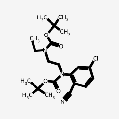 CCN(CCN(C(=O)OC(C)(C)C)c1cc(Cl)ccc1C#N)C(=O)OC(C)(C)C